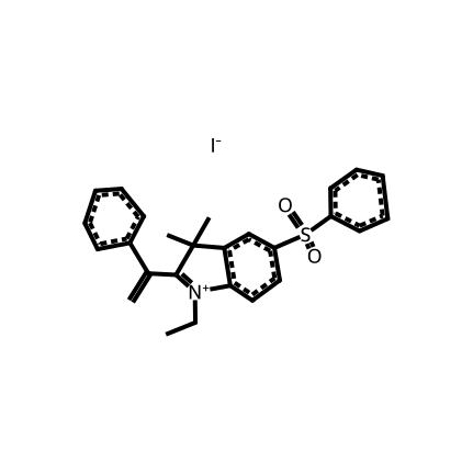 C=C(C1=[N+](CC)c2ccc(S(=O)(=O)c3ccccc3)cc2C1(C)C)c1ccccc1.[I-]